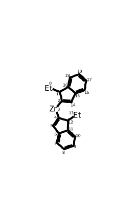 CCC1[C]([Zr][C]2=Cc3ccccc3C2CC)=Cc2ccccc21